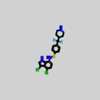 FC(F)(c1ccc(SNc2ccc(Cl)c3c(Cl)c[nH]c23)cc1)C1CCNCC1